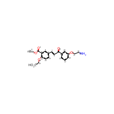 CCCCOC(=O)c1cc(C=CC(=O)c2cccc(OCCN)c2)ccc1OCC(=O)O